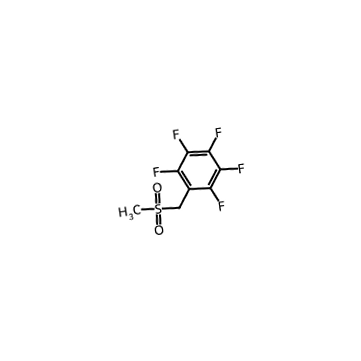 CS(=O)(=O)Cc1c(F)c(F)c(F)c(F)c1F